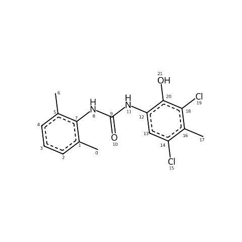 Cc1cccc(C)c1NC(=O)Nc1cc(Cl)c(C)c(Cl)c1O